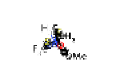 COc1ccc(COc2cc(-c3cc(C)sc3C)nc(-c3nc(C(F)(F)F)cs3)n2)cc1